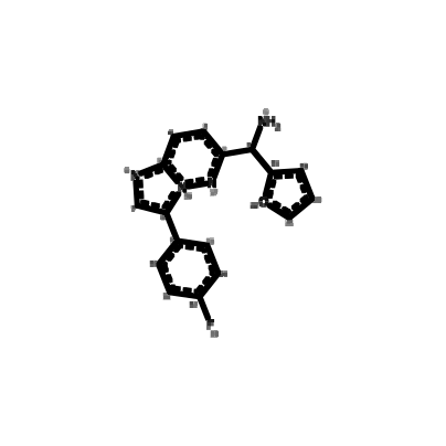 NC(c1ccc2ncc(-c3ccc(F)cc3)n2n1)c1ccco1